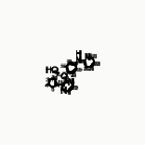 OC[C@H]1CCCN1c1nccnc1Oc1ccc(Nc2ccccn2)cc1